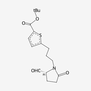 CC(C)(C)OC(=O)c1ccc(CCCN2C(=O)CC[C@@H]2C=O)s1